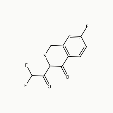 O=C1c2ccc(F)cc2CSC1C(=O)C(F)F